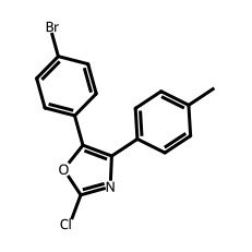 Cc1ccc(-c2nc(Cl)oc2-c2ccc(Br)cc2)cc1